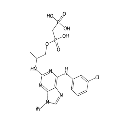 CC(COP(=O)(O)CP(=O)(O)O)Nc1nc(Nc2cccc(Cl)c2)c2ncn(C(C)C)c2n1